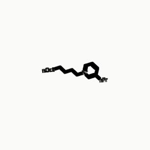 CCCCCCCCCCCC[n+]1cccc(CCC)c1